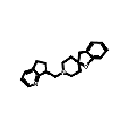 c1ccc2c(c1)CC1(CCN(CC3CCc4cccnc43)CC1)O2